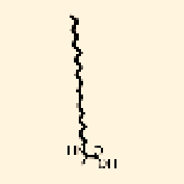 CCCCCCCCCCCCCCCCCCN[C@H](C)C(=O)O